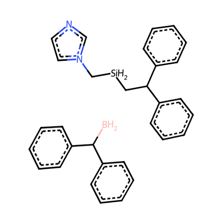 BC(c1ccccc1)c1ccccc1.c1ccc(C(C[SiH2]Cn2ccnc2)c2ccccc2)cc1